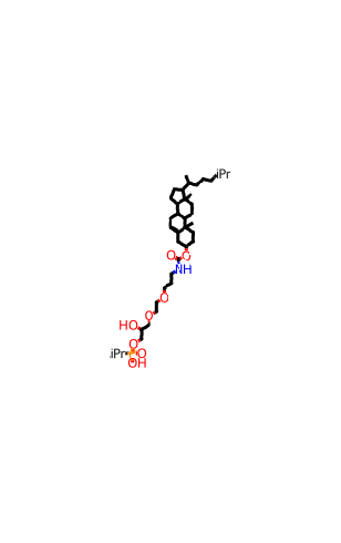 CC(C)CCCC(C)C1CCC2C3CC=C4CC(OC(=O)NCCCOCCOCC(O)COP(=O)(O)C(C)C)CCC4(C)C3CCC12C